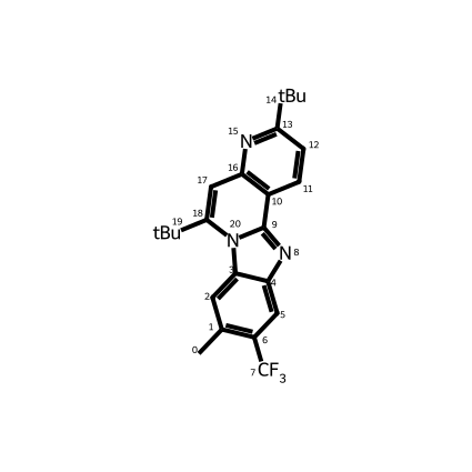 Cc1cc2c(cc1C(F)(F)F)nc1c3ccc(C(C)(C)C)nc3cc(C(C)(C)C)n21